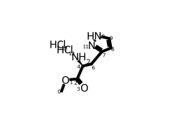 COC(=O)[C@@H](N)Cc1cc[nH]n1.Cl.Cl